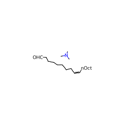 CCCCCCCC/C=C\CCCCCCCC=O.CN(C)C